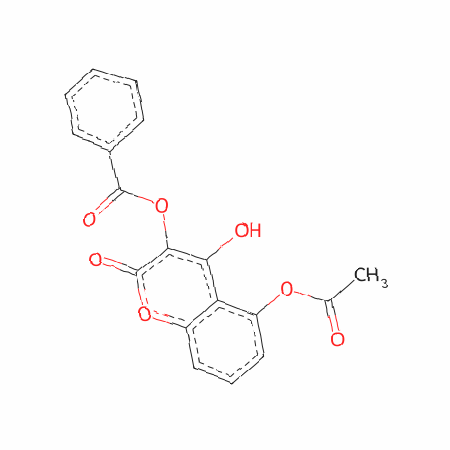 CC(=O)Oc1cccc2oc(=O)c(OC(=O)c3ccccc3)c(O)c12